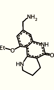 CCOc1cc(CN)cc2[nH]c(=O)c3c(c12)NCCC3